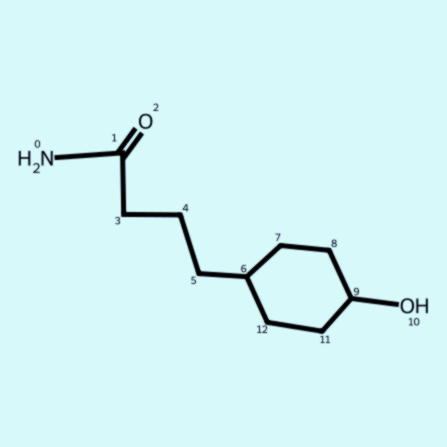 NC(=O)CCCC1CCC(O)CC1